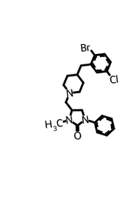 CN1C(=O)N(c2ccccc2)CC1CN1CCC(Cc2cc(Cl)ccc2Br)CC1